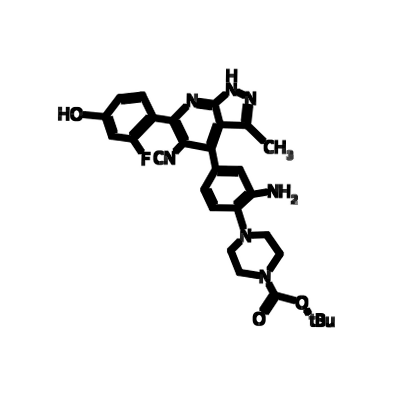 [C-]#[N+]c1c(-c2ccc(O)cc2F)nc2[nH]nc(C)c2c1-c1ccc(N2CCN(C(=O)OC(C)(C)C)CC2)c(N)c1